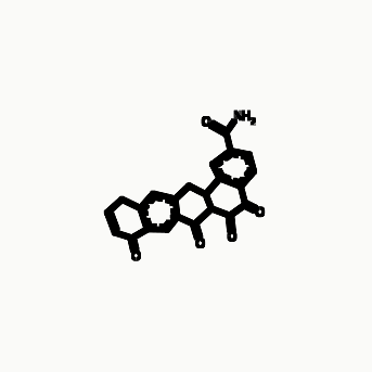 NC(=O)c1ccc2c(c1)C1Cc3cc4c(cc3C(=O)C1C(=O)C2=O)C(=O)C=CC4